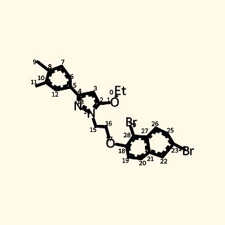 CCOc1cc(-c2ccc(C)c(C)c2)nn1CCOc1ccc2cc(Br)ccc2c1Br